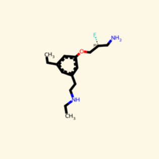 CCNCCc1cc(CC)cc(OC[C@H](F)CN)c1